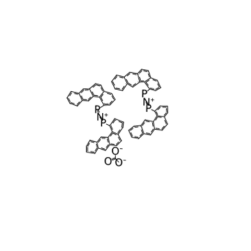 O=C([O-])[O-].c1ccc2cc3c(ccc4cccc(P=[N+]=Pc5cccc6ccc7cc8ccccc8cc7c56)c43)cc2c1.c1ccc2cc3c(ccc4cccc(P=[N+]=Pc5cccc6ccc7cc8ccccc8cc7c56)c43)cc2c1